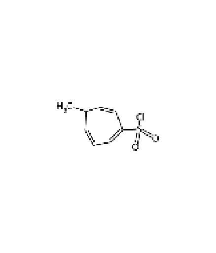 CC1C=CC=C(S(=O)(=O)Cl)C=C1